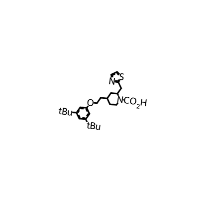 CC(C)(C)c1cc(OCCC2CCN(C(=O)O)C(Cc3nccs3)C2)cc(C(C)(C)C)c1